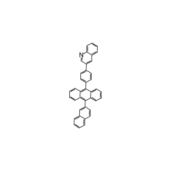 c1ccc2cc(-c3c4ccccc4c(-c4ccc(-c5cnc6ccccc6c5)cc4)c4ccccc34)ccc2c1